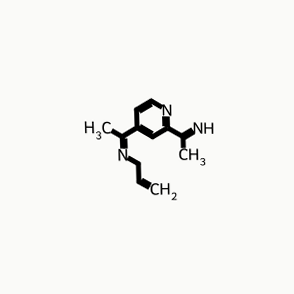 C=CC/N=C(/C)c1ccnc(C(C)=N)c1